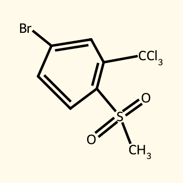 CS(=O)(=O)c1ccc(Br)cc1C(Cl)(Cl)Cl